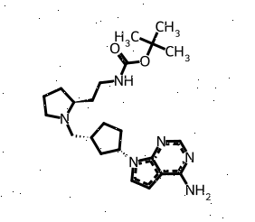 CC(C)(C)OC(=O)NCC[C@@H]1CCCN1C[C@@H]1CC[C@H](n2ccc3c(N)ncnc32)C1